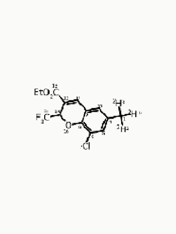 [2H]C([2H])([2H])c1cc(Cl)c2c(c1)C=C(C(=O)OCC)C(C(F)(F)F)O2